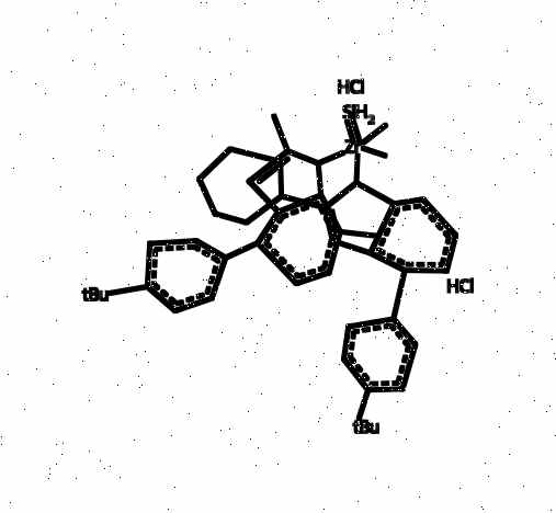 CC1=Cc2c(-c3ccc(C(C)(C)C)cc3)ccc(C)c2[CH]1[Zr]([CH3])([CH3])(=[SiH2])[CH]1C(C2CCCCC2)=Cc2c(-c3ccc(C(C)(C)C)cc3)cccc21.Cl.Cl